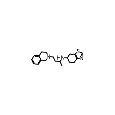 CC(CCN1CCc2ccccc2C1)NC1CCc2ncsc2C1